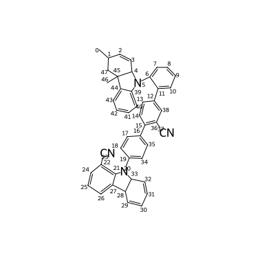 CC1C=CC2N(c3ccccc3-c3ccc(-c4ccc(N5c6c(C#N)cccc6C6C=CC=CC65)cc4)c(C#N)c3)c3ccccc3C2(C)C1